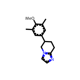 COc1c(C)cc(C2CCc3nccn3C2)cc1C